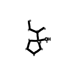 CCC(C)[P]1(O)CCCC1